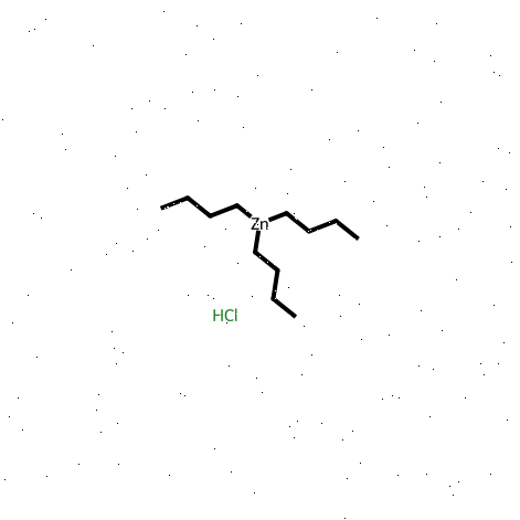 CCC[CH2][Zn]([CH2]CCC)[CH2]CCC.Cl